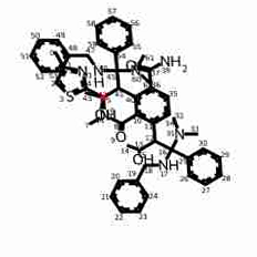 Cc1csc(CN(C)C(=O)c2c(C(C(C)O)C(NCc3ccccc3)(c3ccccc3)N(C)C)ccc(C(N)=O)c2C(C(C)O)C(NCc2ccccc2)(c2ccccc2)N(C)C)n1